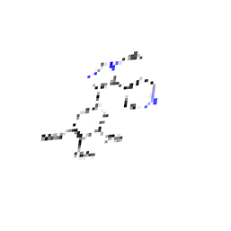 CCCCn1cnc(-c2cc(OC)c(OC)c(OC)c2)c1-c1ccncc1